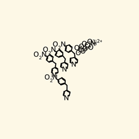 O=[N+]([O-])c1ccc(Cc2ccncc2)cc1.O=[N+]([O-])c1ccc(Cc2ccncc2)cc1.O=[N+]([O-])c1ccc(Cc2ccncc2)cc1.O=[N+]([O-])c1ccc(Cc2ccncc2)cc1.[Ni+2].[O-][Cl+3]([O-])([O-])[O-].[O-][Cl+3]([O-])([O-])[O-]